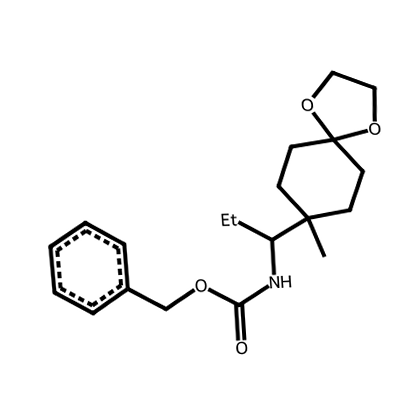 CCC(NC(=O)OCc1ccccc1)C1(C)CCC2(CC1)OCCO2